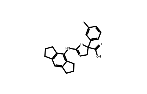 O=C(O)C1(c2cccc(Cl)c2)CN=C(Nc2c3c(cc4c2CCC4)CCC3)O1